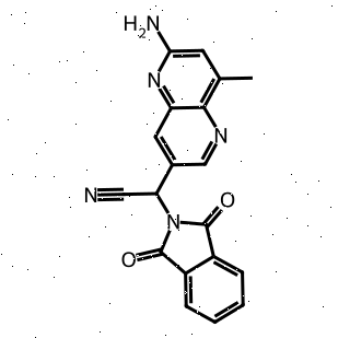 Cc1cc(N)nc2cc(C(C#N)N3C(=O)c4ccccc4C3=O)cnc12